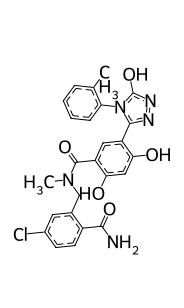 Cc1ccccc1-n1c(O)nnc1-c1cc(C(=O)N(C)Cc2cc(Cl)ccc2C(N)=O)c(O)cc1O